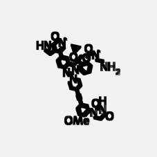 COc1ccc(C#CC2CCN(c3nc(C(COC(=O)N(C)CCN)(OC4CC4)c4ccccc4)c4cc(-c5cn(C)c(=O)c6[nH]ccc56)ccc4n3)CC2)cc1N1CCC(=O)NC1=O